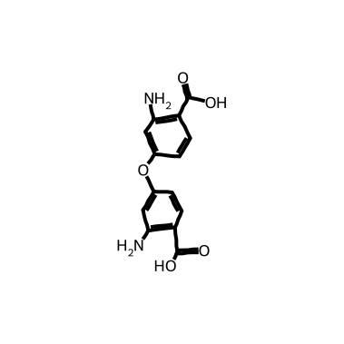 Nc1cc(Oc2ccc(C(=O)O)c(N)c2)ccc1C(=O)O